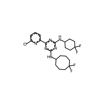 FC1(F)CCCC(Nc2nc(NC3CCC(F)(F)CC3)nc(-c3cccc(Cl)n3)n2)CCC1